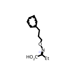 CC/C(=N/OCCCc1ccccc1)C(=O)O